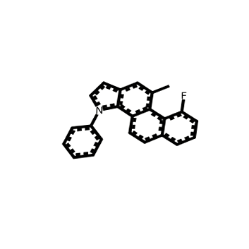 Cc1cc2ccn(-c3ccccc3)c2c2ccc3cccc(F)c3c12